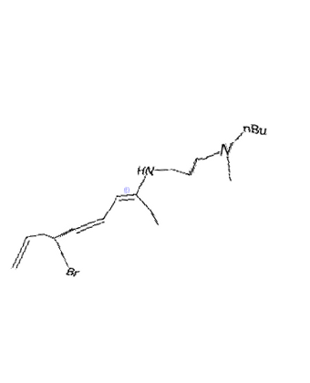 C=CC(Br)C=C/C=C(\C)NCCN(C)CCCC